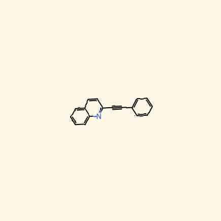 C(#Cc1ccc2ccccc2n1)c1[c]cccc1